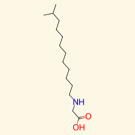 CC(C)CCCCCCCCCCNCC(=O)O